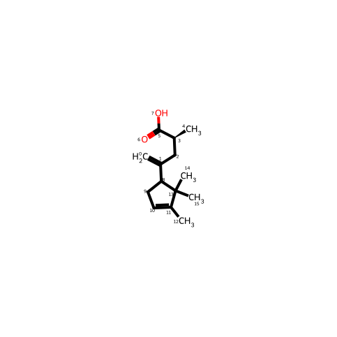 C=C(C[C@H](C)C(=O)O)C1CC=C(C)C1(C)C